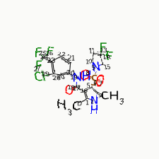 Cc1[nH]c(C)c(S(=O)(=O)N2CCC(F)(F)C2)c1C(=O)Nc1ccc(C(F)(F)F)c(Cl)c1